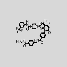 COC(=O)c1ccc(CNC(=O)c2ccc(-n3c(=O)ccc4c(C)nc(N5CCN(C(=O)Nc6cccc(C(F)(F)F)c6)CC5)nc43)cc2)cc1